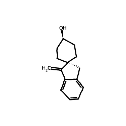 C=C1c2ccccc2C[C@]12CC[C@H](O)CC2